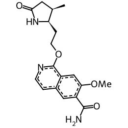 COc1cc2c(OCC[C@H]3NC(=O)C[C@H]3C)nccc2cc1C(N)=O